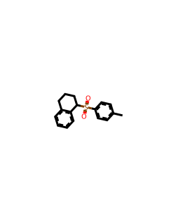 Cc1ccc(S(=O)(=O)C2CCCc3ccccc32)cc1